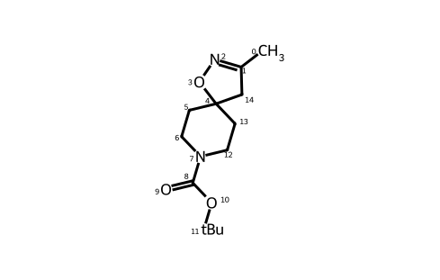 CC1=NOC2(CCN(C(=O)OC(C)(C)C)CC2)C1